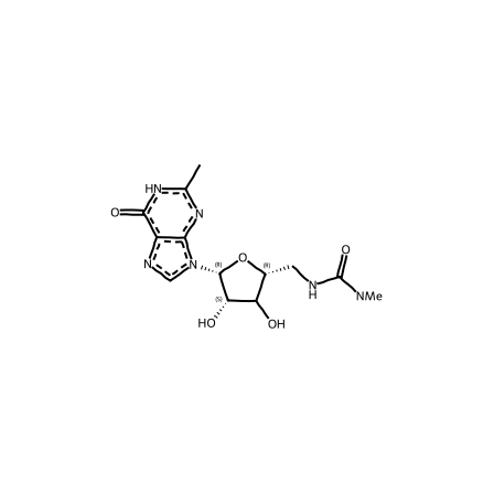 CNC(=O)NC[C@H]1O[C@@H](n2cnc3c(=O)[nH]c(C)nc32)[C@@H](O)C1O